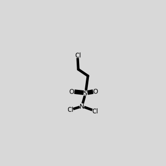 O=S(=O)(CCCl)N(Cl)Cl